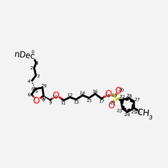 CCCCCCCCCCCCCC[C@H]1CO[C@H](COCCCCCCCOS(=O)(=O)c2ccc(C)cc2)C1